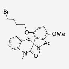 COc1ccc(OCCCCBr)c(C2(N(C)C(C)=O)Sc3ccccc3N(C)C2=O)c1